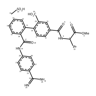 COC(=O)C(NC(=O)c1ccc(-c2ccccc2C(=O)Nc2ccc(C(=N)N)cc2)c(C(=O)O)c1)C(C)C.CS(=O)(=O)O